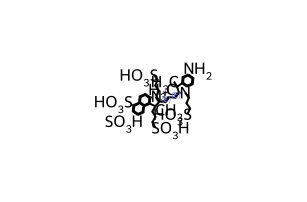 CC1(CCCS(=O)(=O)O)C(/C=C/C=C2/N(CCCS(=O)(=O)O)c3ccc(N)cc3C2(C)C)=[N+](CCCS(=O)(=O)O)c2ccc3c(S(=O)(=O)O)cc(S(=O)(=O)O)cc3c21